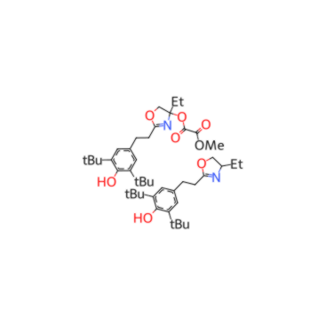 CCC1(OC(=O)C(=O)OC)COC(CCc2cc(C(C)(C)C)c(O)c(C(C)(C)C)c2)=N1.CCC1COC(CCc2cc(C(C)(C)C)c(O)c(C(C)(C)C)c2)=N1